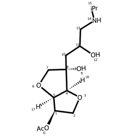 CC(=O)O[C@@H]1CO[C@H]2[C@@H]1OC[C@@]2(O)CC(O)CNC(C)C